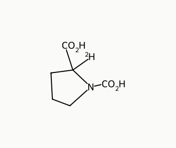 [2H]C1(C(=O)O)CCCN1C(=O)O